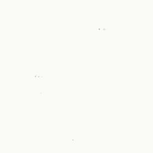 CCCCCCCCCCCCCCCCC(C(=O)O)C(=O)C(CCCCCCCCCCCCCCCC)C(CCCCCCCC)CCCCCCCCC